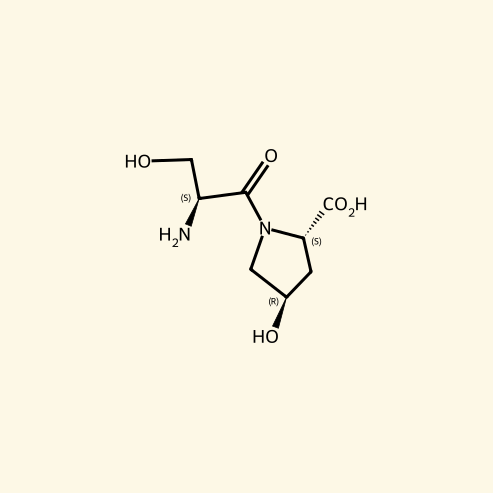 N[C@@H](CO)C(=O)N1C[C@H](O)C[C@H]1C(=O)O